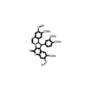 COc1ccc(C2c3c(c(=O)oc4cc(OC(C)C)c(OC)cc34)N3C=Cc4cc(OC(C)C)c(OC)cc4C23)cc1OC